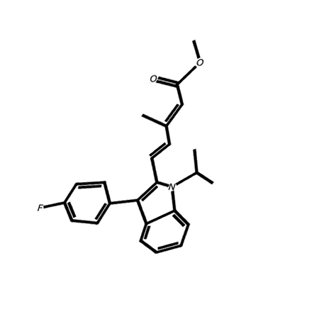 COC(=O)/C=C(C)/C=C/c1c(-c2ccc(F)cc2)c2ccccc2n1C(C)C